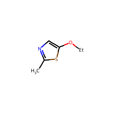 CCOc1cnc(C)s1